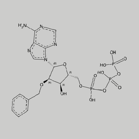 Nc1ncnc2c1ncn2[C@@H]1O[C@H](COP(=O)(O)OP(=O)(O)OP(=O)(O)O)[C@@H](O)[C@H]1OCc1ccccc1